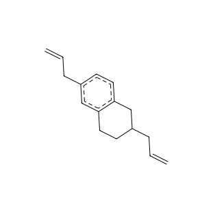 C=CCc1ccc2c(c1)CCC(CC=C)C2